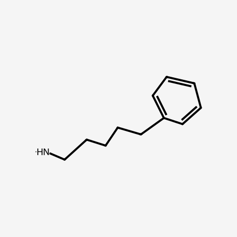 [NH]CCCCCc1ccccc1